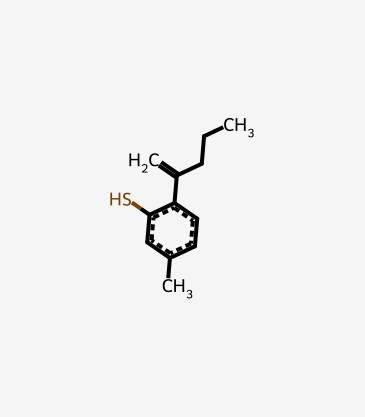 C=C(CCC)c1ccc(C)cc1S